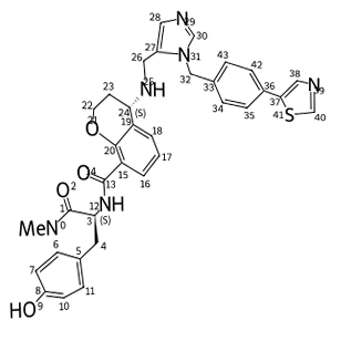 CNC(=O)[C@H](Cc1ccc(O)cc1)NC(=O)c1cccc2c1OCC[C@@H]2NCc1cncn1Cc1ccc(-c2cncs2)cc1